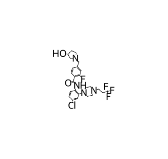 O=C(Nc1ccc(Cl)cc1N1CCN(CCC(F)(F)F)CC1)c1ccc(CN2CCC(O)C2)cc1F